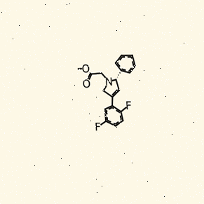 COC(=O)CN1CC(c2cc(F)ccc2F)=C[C@H]1c1ccccc1